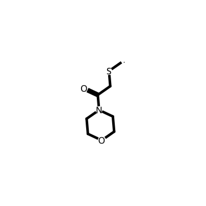 [CH2]SCC(=O)N1CCOCC1